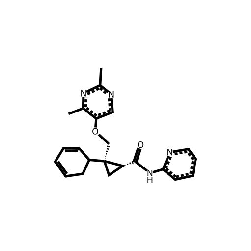 Cc1ncc(OC[C@@]2(C3C=CC=CC3)C[C@H]2C(=O)Nc2ccccn2)c(C)n1